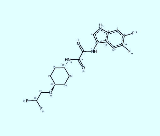 O=C(Nc1c[nH]c2cc(F)c(F)cc12)C(=O)N[C@H]1CC[C@H](OCC(F)F)CC1